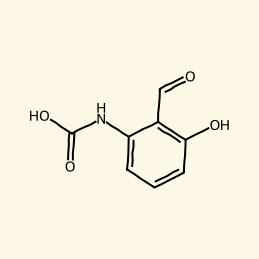 O=Cc1c(O)cccc1NC(=O)O